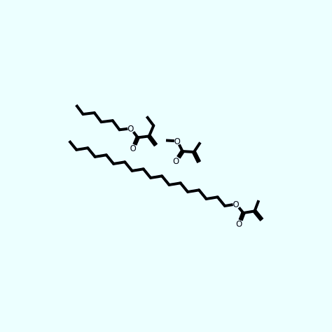 C=C(C)C(=O)OC.C=C(C)C(=O)OCCCCCCCCCCCCCCCCCC.C=C(CC)C(=O)OCCCCCC